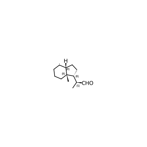 C[C@H](C=O)[C@H]1CC[C@H]2[CH]CCC[C@]21C